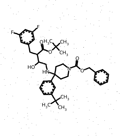 CC(C)(C)OC(=O)C(Cc1cc(F)cc(F)c1)C(O)CNC1(c2cccc(C(C)(C)C)c2)CCN(C(=O)OCc2ccccc2)CC1